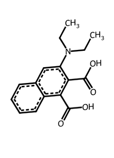 CCN(CC)c1cc2ccccc2c(C(=O)O)c1C(=O)O